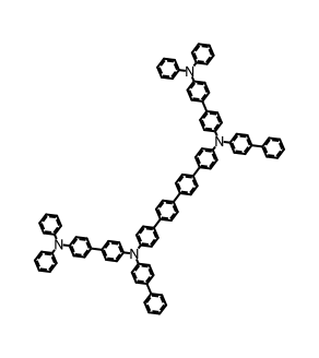 c1ccc(-c2ccc(N(c3ccc(-c4ccc(-c5ccc(-c6ccc(N(c7ccc(-c8ccccc8)cc7)c7ccc(-c8ccc(N(c9ccccc9)c9ccccc9)cc8)cc7)cc6)cc5)cc4)cc3)c3ccc(-c4ccc(N(c5ccccc5)c5ccccc5)cc4)cc3)cc2)cc1